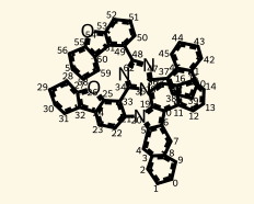 c1ccc2cc3c(cc2c1)c1c2ccccc2ccc1n3-c1ccc2c(oc3ccccc32)c1-c1nc(-c2cccc3ccccc23)nc(-c2cccc3oc4ccccc4c23)n1